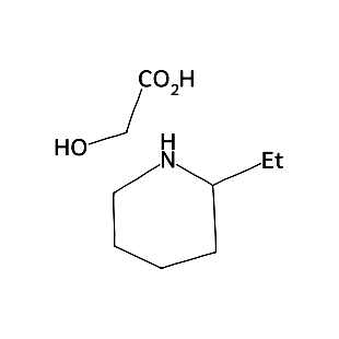 CCC1CCCCN1.O=C(O)CO